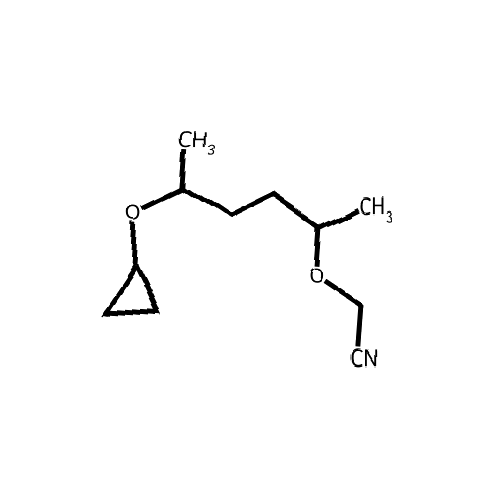 CC(CCC(C)OC1CC1)OCC#N